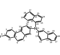 Brc1ccc2c(ccc3cc(N(c4ccc5ccccc5c4)c4cccc5ccccc45)ccc32)c1